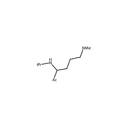 CNCCCC(NC(C)C)C(C)=O